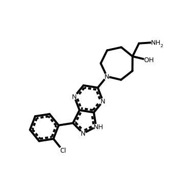 NCC1(O)CCCN(c2cnc3c(-c4ccccc4Cl)n[nH]c3n2)CC1